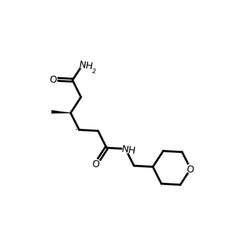 C[C@H]([CH]CC(=O)NCC1CCOCC1)CC(N)=O